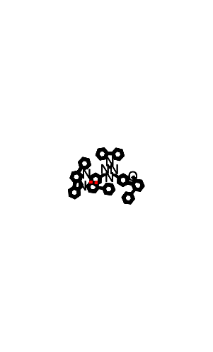 c1ccc(-c2ccc(-n3c4ccccc4c4ccc5c6ccccc6n(-c6cccc(-c7nc(-c8ccc9c(c8)oc8cccc(-c%10ccccc%10)c89)nc(-n8c9ccccc9c9ccccc98)n7)c6)c5c43)cc2)cc1